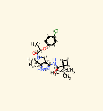 CC(Oc1ccc(Cl)cc1)C(=O)N1Cc2c(NC(=O)C3([Si](C)(C)C)CCC3)n[nH]c2C1(C)C